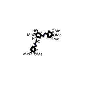 COc1ccc(/C=C/C(=O)Nc2cc(/C=C/c3cc(OC)c(OC)c(OC)c3)cc(O)c2OC)cc1OC